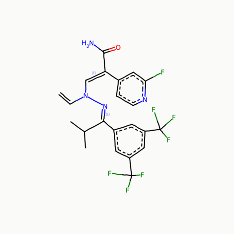 C=CN(/C=C(/C(N)=O)c1ccnc(F)c1)/N=C(/c1cc(C(F)(F)F)cc(C(F)(F)F)c1)C(C)C